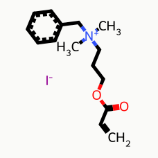 C=CC(=O)OCCC[N+](C)(C)Cc1ccccc1.[I-]